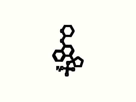 O=S(=O)(OS1(c2ccc(OC3CCCCO3)c3ccccc23)CCCC1)C(F)(F)F